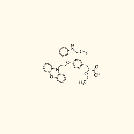 CCNc1ccccc1.CCOC(Cc1ccc(OCCN2c3ccccc3Oc3ccccc32)cc1)C(=O)O